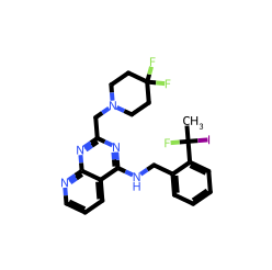 CC(F)(I)c1ccccc1CNc1nc(CN2CCC(F)(F)CC2)nc2ncccc12